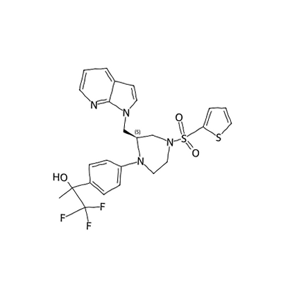 CC(O)(c1ccc(N2CCN(S(=O)(=O)c3cccs3)C[C@@H]2Cn2ccc3cccnc32)cc1)C(F)(F)F